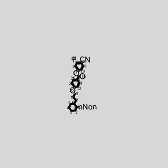 CCCCCCCCCC1CCCCC1CCCOc1ccc(C(=O)Oc2ccc(C#N)c(F)c2)cc1